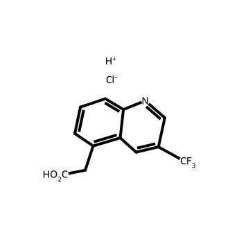 O=C(O)Cc1cccc2ncc(C(F)(F)F)cc12.[Cl-].[H+]